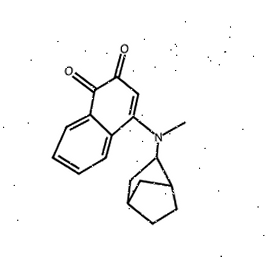 CN(C1=CC(=O)C(=O)c2ccccc21)C1CC2CCC1C2